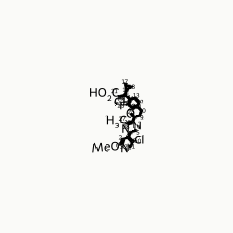 COc1cc(-c2cnc(C3CCc4ccc(C(C5CC5)[C@H](C)C(=O)O)c(F)c4O3)c(C)n2)c(Cl)cn1